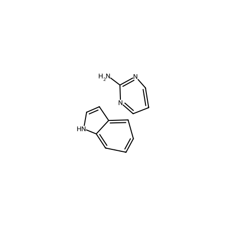 Nc1ncccn1.c1ccc2[nH]ccc2c1